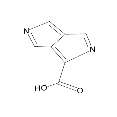 O=C(O)C1=C2C=NC=C2C=N1